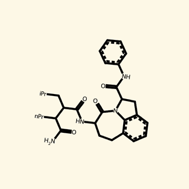 CCCC(C(N)=O)C(CC(C)C)C(=O)NC1CCc2cccc3c2N(C1=O)C(C(=O)Nc1ccccc1)C3